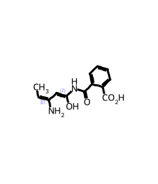 C/C=C(N)\C=C(/O)NC(=O)c1ccccc1C(=O)O